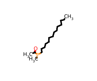 CCCCCCCCCCCCCCP(C)C(C)=O